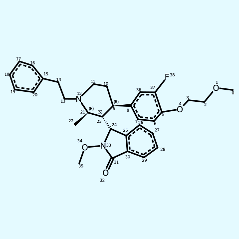 COCCOc1ccc([C@@H]2CCN(CCc3ccccc3)[C@H](C)[C@H]2C2c3ccccc3C(=O)N2OC)cc1F